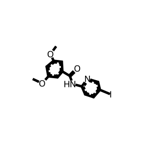 COc1cc(OC)cc(C(=O)Nc2ccc(I)cn2)c1